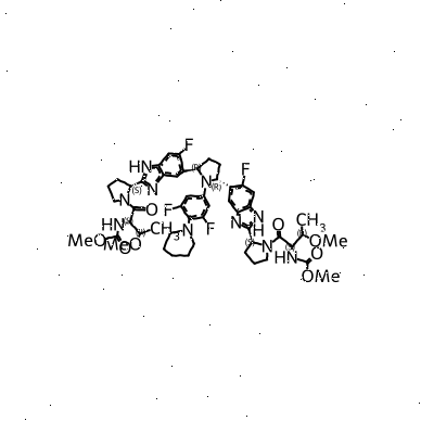 COC(=O)N[C@H](C(=O)N1CCC[C@H]1c1nc2cc([C@H]3CC[C@H](c4cc5nc([C@@H]6CCCN6C(=O)[C@@H](NC(=O)OC)[C@@H](C)OC)[nH]c5cc4F)N3c3cc(F)c(N4CCCCC4)c(F)c3)c(F)cc2[nH]1)[C@@H](C)OC